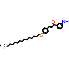 CCCCCCCCCCCCCCCSc1ccc(C=CC(=O)c2cccc(N)c2)cc1